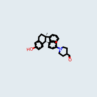 C[C@@]1(c2ccccc2)CCc2cc(O)ccc2[C@H]1c1ccc(N2CCC(C=O)CC2)cc1